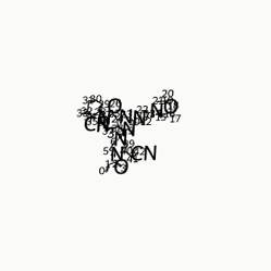 C=CC(=O)N1CCN(c2nc(N3CC(N4C[C@@H](C)O[C@@H](C)C4)C3)nc3c(=O)n(-c4cccc(C)c4C(F)(F)F)ncc23)CC1CC#N